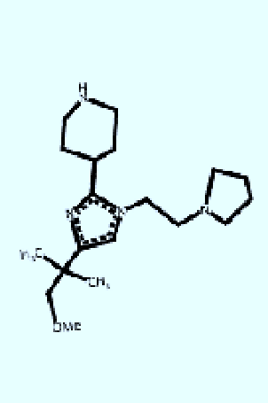 COCC(C)(C)c1cn(CCN2CCCC2)c(C2CCNCC2)n1